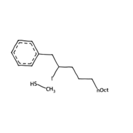 CCCCCCCCCCCC(I)Cc1ccccc1.CS